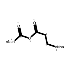 CCCCCCCCCCCC(=O)OC(=O)CCCCCCCCC